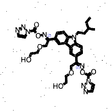 CCC(C)CCn1c2ccc(/C(COCCO)=N/OC(=O)n3ccnn3)cc2c2cc(/C(COCCO)=N/OC(=O)n3ccnn3)ccc21